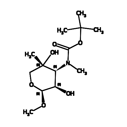 CO[C@H]1OC[C@](C)(O)[C@H](N(C)C(=O)OC(C)(C)C)[C@H]1O